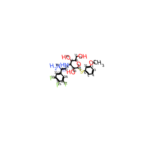 COc1cccc(SC2OC(CO)C(O)C(N/C=C(\N)c3cc(F)c(F)c(F)c3)C2O)c1